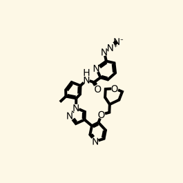 Cc1ccc(NC(=O)c2cccc(N=[N+]=[N-])n2)cc1-n1cc(-c2cnccc2OCC2CCOCC2)cn1